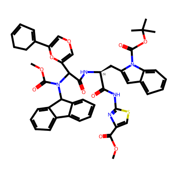 COC(=O)c1csc(NC(=O)[C@H](Cc2cc3ccccc3n2C(=O)OC(C)(C)C)NC(=O)C(C2=COC=C(C3=CC=CCC3)O2)N(C(=O)OC)C2c3ccccc3-c3ccccc32)n1